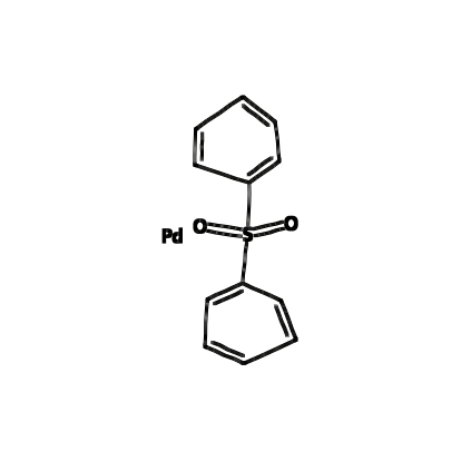 O=S(=O)(c1ccccc1)c1ccccc1.[Pd]